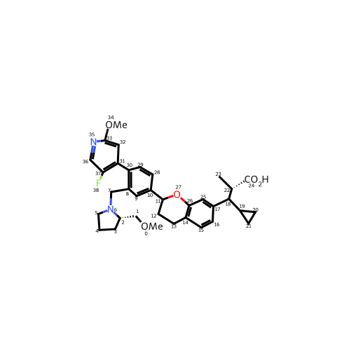 COC[C@@H]1CCCN1Cc1cc(C2CCc3ccc(C(C4CC4)[C@H](C)C(=O)O)cc3O2)ccc1-c1cc(OC)ncc1F